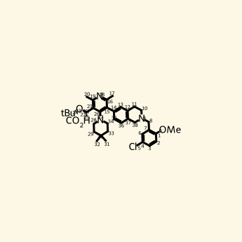 COc1ccc(Cl)cc1CN1CCc2cc(-c3c(C)nc(C)c([C@H](OC(C)(C)C)C(=O)O)c3N3CCC(C)(C)CC3)ccc2C1